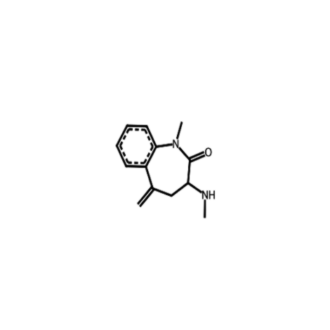 C=C1CC(NC)C(=O)N(C)c2ccccc21